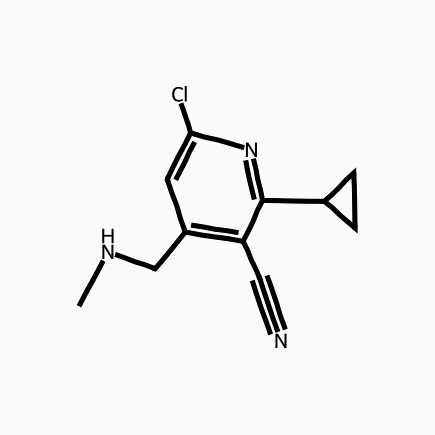 CNCc1cc(Cl)nc(C2CC2)c1C#N